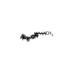 CCCCCCCc1cnc(-c2ccc(/C=C/C(=O)OCC(F)(F)C(F)F)cc2)nc1